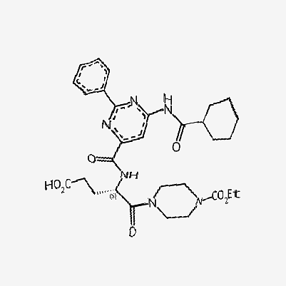 CCOC(=O)N1CCN(C(=O)[C@H](CCC(=O)O)NC(=O)c2cc(NC(=O)C3CCCCC3)nc(-c3ccccc3)n2)CC1